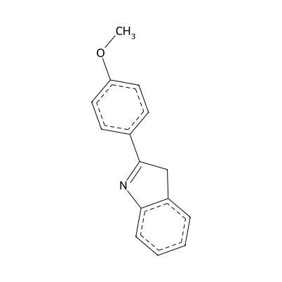 COc1ccc(C2=Nc3ccccc3C2)cc1